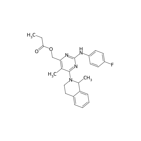 CCC(=O)OCc1nc(Nc2ccc(F)cc2)nc(N2CCc3ccccc3C2C)c1C